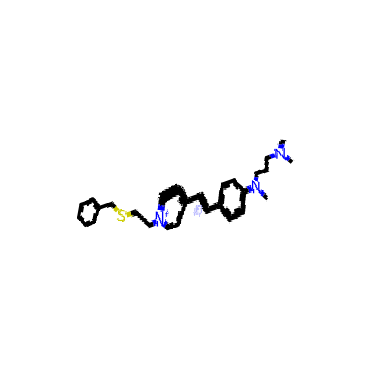 CN(C)CCCN(C)c1ccc(/C=C/c2c#c[n+](CCSCc3ccccc3)cc2)cc1